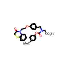 CCOC(=O)CN(Cc1ccc(OCCN2C(=O)CSc3ccccc32)cc1)C(=O)Oc1ccc(OC)cc1